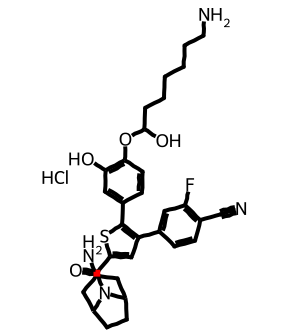 Cl.N#Cc1ccc(-c2cc(C(=O)N3C4CCC3CC(N)C4)sc2-c2ccc(OC(O)CCCCCCN)c(O)c2)cc1F